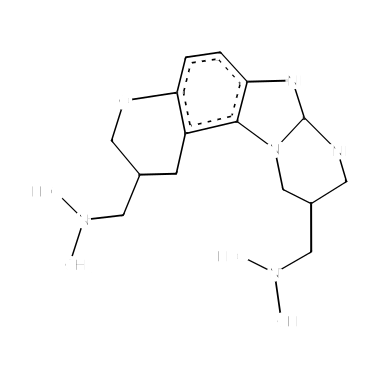 CN(C)CC1COc2ccc3c(c2C1)N1CC(CN(C)C)CNC1N3